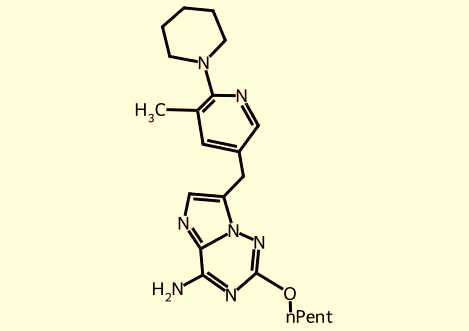 CCCCCOc1nc(N)c2ncc(Cc3cnc(N4CCCCC4)c(C)c3)n2n1